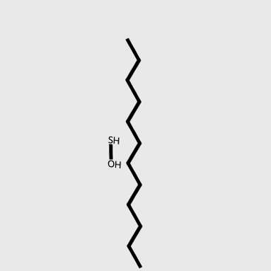 CCCCCCCCCCCC.OS